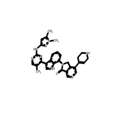 Cc1cnc(Nc2cc(C)n(C)n2)nc1-c1c[nH]c2c(N3Cc4c(cncc4C4=CCNCC4)C3=O)cccc12